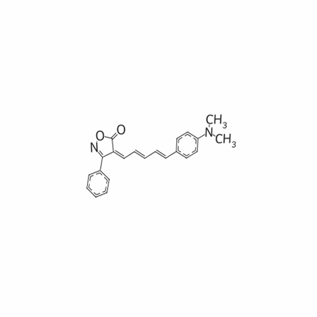 CN(C)c1ccc(/C=C/C=C/C=C2\C(=O)ON=C2c2ccccc2)cc1